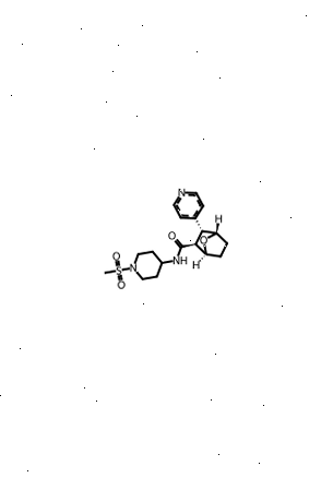 CS(=O)(=O)N1CCC(NC(=O)[C@H]2[C@H](c3ccncc3)[C@@H]3CC[C@@H]2O3)CC1